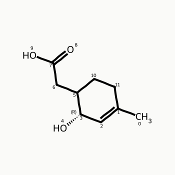 CC1=C[C@H](O)C(CC(=O)O)CC1